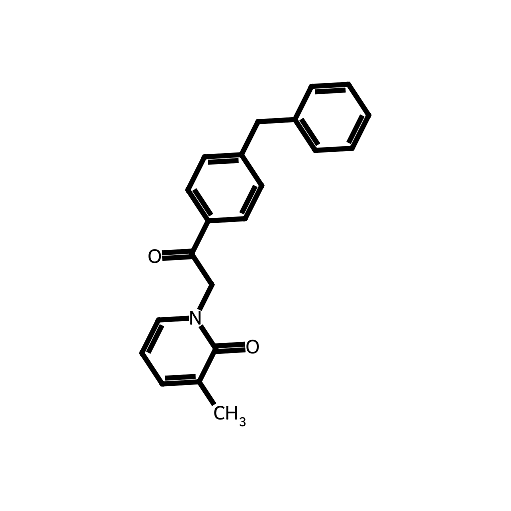 Cc1cccn(CC(=O)c2ccc(Cc3ccccc3)cc2)c1=O